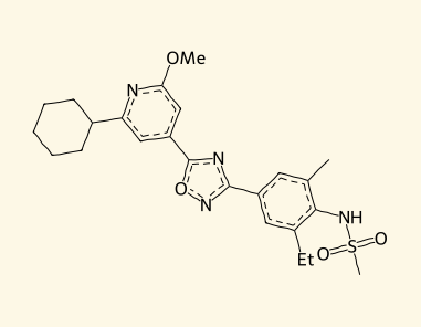 CCc1cc(-c2noc(-c3cc(OC)nc(C4CCCCC4)c3)n2)cc(C)c1NS(C)(=O)=O